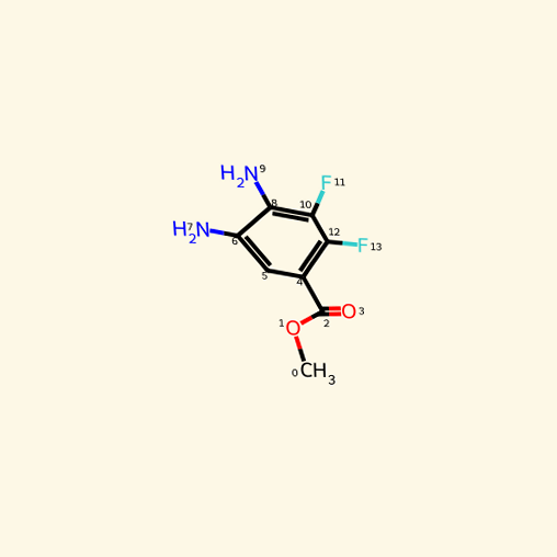 COC(=O)c1cc(N)c(N)c(F)c1F